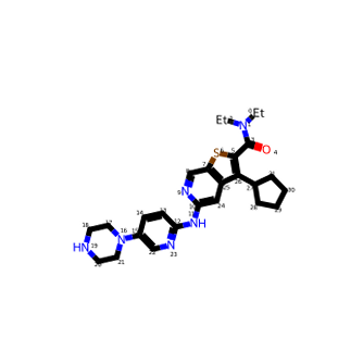 CCN(CC)C(=O)c1sc2cnc(Nc3ccc(N4CCNCC4)cn3)cc2c1C1CCCC1